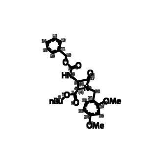 CCCCOC(=O)[C@H]1[C@@H](NC(=O)OCc2ccccc2)C(=O)N1Cc1ccc(OC)cc1OC